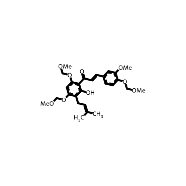 COCOc1ccc(/C=C/C(=O)c2c(OCOC)cc(OCOC)c(CC=C(C)C)c2O)cc1OC